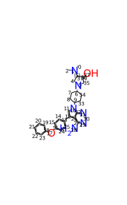 CN(C)[C@H]1CN([C@H]2CC[C@H](n3cc(-c4ccc(Oc5ccccc5)cc4)c4c(N)ncnc43)CC2)C[C@H]1O